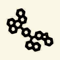 c1ccc2c(N(c3ccc(N4c5ccc6ccccc6c5-c5cccc6cccc4c56)cc3)c3ccc4oc5ccccc5c4c3)cccc2c1